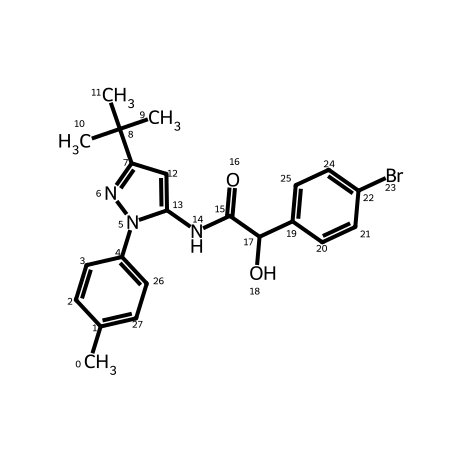 Cc1ccc(-n2nc(C(C)(C)C)cc2NC(=O)C(O)c2ccc(Br)cc2)cc1